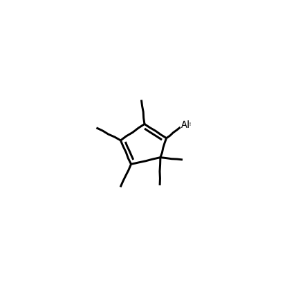 CC1=C(C)C(C)(C)[C]([Al])=C1C